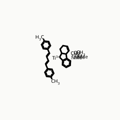 C[N-]C.C[N-]C.C[N-]C.Cc1ccc(C=CC=Cc2ccc(C)cc2)cc1.[Ti+3][CH]1c2ccccc2C2C=CCCC12